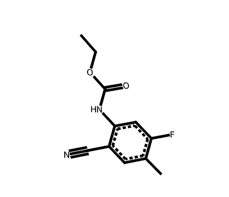 CCOC(=O)Nc1cc(F)c(C)cc1C#N